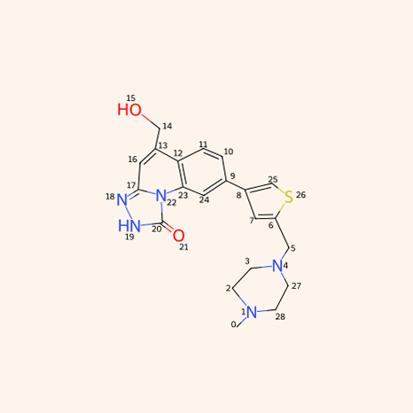 CN1CCN(Cc2cc(-c3ccc4c(CO)cc5n[nH]c(=O)n5c4c3)cs2)CC1